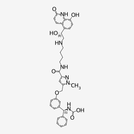 Cn1nc(C(=O)NCCCCNC[C@H](O)c2ccc(O)c3[nH]c(=O)ccc23)cc1COc1cccc([C@@H](NC(=O)O)c2ccccc2)c1